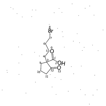 O=C(O)C1(CCCCBr)CCCC1=O